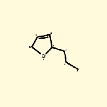 CCCC1C=CCO1